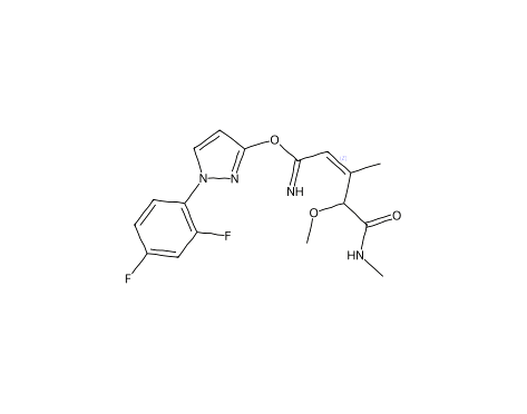 CNC(=O)C(OC)/C(C)=C\C(=N)Oc1ccn(-c2ccc(F)cc2F)n1